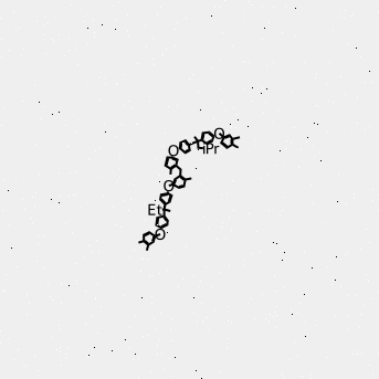 CCC(C)(c1ccc(Oc2ccc(C)c(C)c2)cc1)c1ccc(Oc2ccc(C)c(Cc3cc(Oc4ccc(C(C)(CC(C)C)c5ccc(Oc6ccc(C)c(C)c6)cc5)cc4)ccc3C)c2)cc1